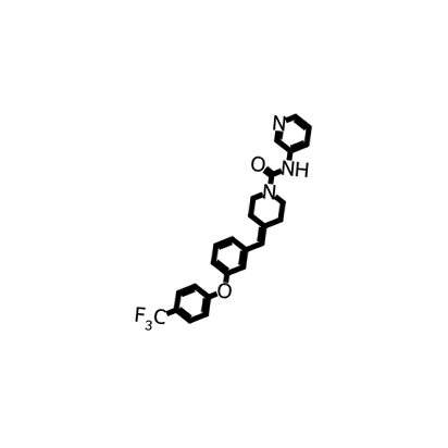 O=C(Nc1cccnc1)N1CCC(=Cc2cccc(Oc3ccc(C(F)(F)F)cc3)c2)CC1